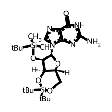 CC(C)(C)[Si](C)(C)O[C@@H]1[C@@H]2O[Si](C(C)(C)C)(C(C)(C)C)OC[C@H]2O[C@H]1n1cnc2c(=O)[nH]c(N)nc21